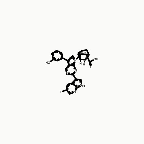 O=C(O)[C@@H]1C2CCC(CC2)[C@H]1n1cc(-c2cccc(O)c2)c2cnc(-c3c[nH]c4ncc(F)cc34)nc21